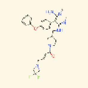 C=N/C(N)=C(\C(=N/C)NCC1CCN(C(=O)/C=C/CN2CC(F)(F)C2)CC1)c1ccc(Oc2ccccc2)cc1